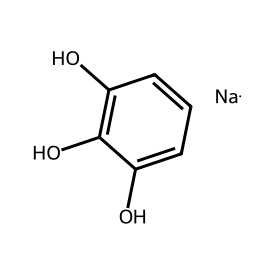 Oc1cccc(O)c1O.[Na]